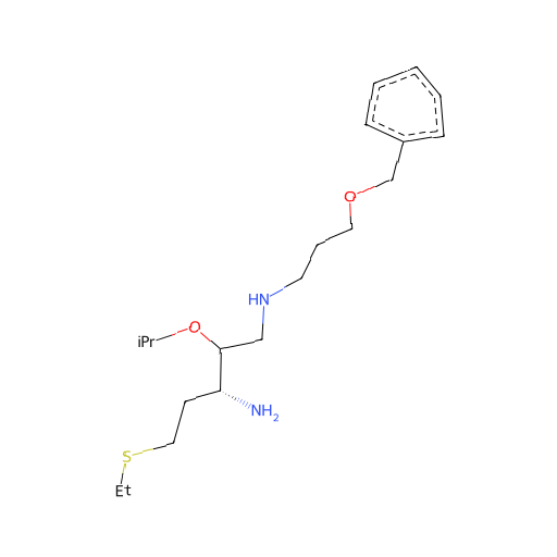 CCSCC[C@@H](N)C(CNCCCOCc1ccccc1)OC(C)C